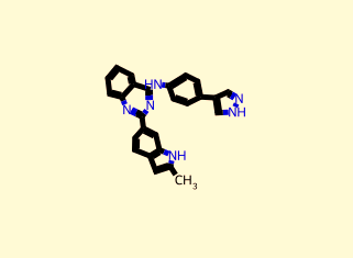 Cc1cc2ccc(-c3nc(Nc4ccc(-c5cn[nH]c5)cc4)c4ccccc4n3)cc2[nH]1